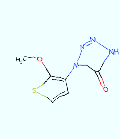 COc1sccc1-n1nn[nH]c1=O